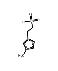 Cn1cc[n+](CCS(=O)(=O)Cl)c1